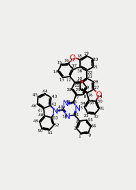 c1ccc(-c2nc(-c3cccc(-c4cccc5oc6cccc(-c7ccc8c(c7)oc7ccccc78)c6c45)c3)nc(-n3c4ccccc4c4ccccc43)n2)cc1